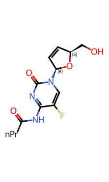 CCCC(=O)Nc1nc(=O)n([C@H]2C=C[C@@H](CO)O2)cc1F